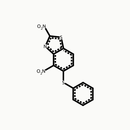 O=[N+]([O-])c1nc2c([N+](=O)[O-])c(Sc3ccccc3)ccc2s1